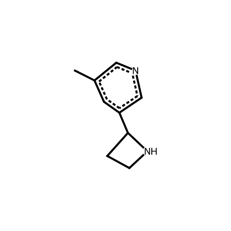 Cc1cncc(C2CCN2)c1